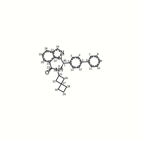 C[C@H](c1ccc(-c2ccccc2)cc1)n1ncc2cccc(C(=O)NC3CC4(CCC4)C3)c21